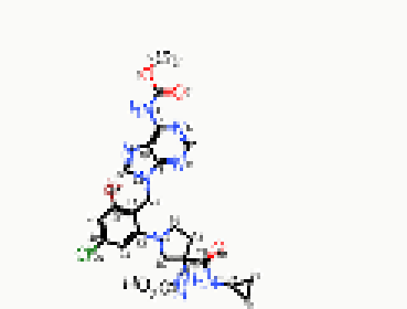 CC(C)(C)OC(=O)Nc1ncnc2c1ncn2Cc1c(Br)cc(Cl)cc1N1CC[C@](NC(=O)O)(C(=O)NC2CC2)C1